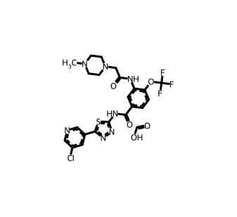 CN1CCN(CC(=O)Nc2cc(C(=O)Nc3nnc(-c4cncc(Cl)c4)s3)ccc2OC(F)(F)F)CC1.O=CO